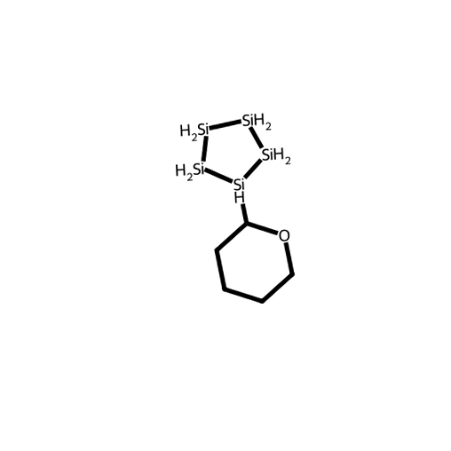 C1CCC([SiH]2[SiH2][SiH2][SiH2][SiH2]2)OC1